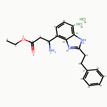 CCOC(=O)CC(N)c1cccc2[nH]c(CCc3ccccc3)nc12.Cl.Cl